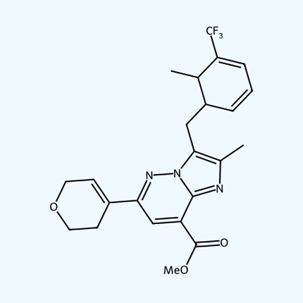 COC(=O)c1cc(C2=CCOCC2)nn2c(CC3C=CC=C(C(F)(F)F)C3C)c(C)nc12